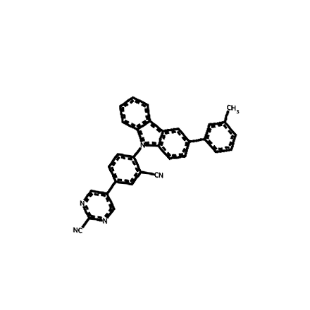 Cc1cccc(-c2ccc3c(c2)c2ccccc2n3-c2ccc(-c3cnc(C#N)nc3)cc2C#N)c1